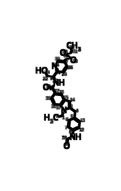 CCn1c(Cc2ccc(NC=O)cc2)cc2cc(C(=O)N[C@@H](CO)c3ccc(S(=O)(=O)CC)cn3)ccc21